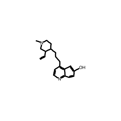 C=CC1CN(C)CCC1CCCc1ccnc2ccc(O)cc12